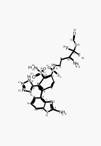 Nc1nc2c(-c3ccc(S(=O)(=O)NCCC(N)C(F)(F)OC=O)c(S(N)(=O)=O)c3-c3nnn[nH]3)cccc2s1